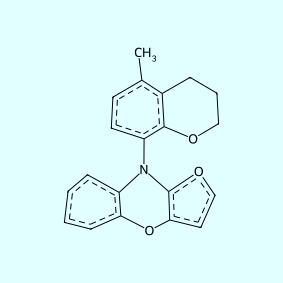 Cc1ccc(N2c3ccccc3Oc3ccoc32)c2c1CCCO2